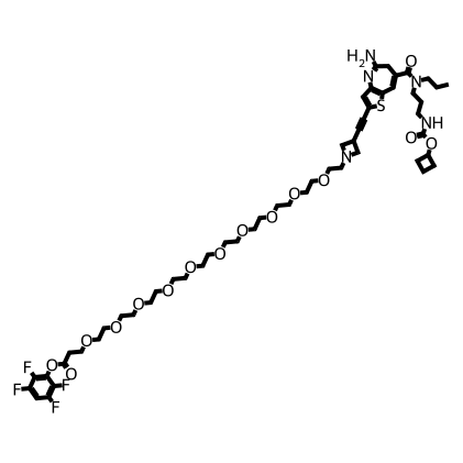 CCCN(CCCNC(=O)OC1CCC1)C(=O)C1=Cc2sc(C#CC3CN(CCOCCOCCOCCOCCOCCOCCOCCOCCOCCOCCC(=O)Oc4c(F)c(F)cc(F)c4F)C3)cc2N=C(N)C1